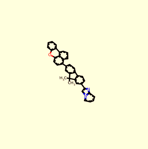 CC1(C)c2cc(-c3cn4ccccc4n3)ccc2-c2ccc(-c3ccc4c5c(cccc35)-c3ccccc3O4)cc21